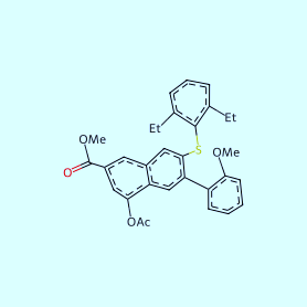 CCc1cccc(CC)c1Sc1cc2cc(C(=O)OC)cc(OC(C)=O)c2cc1-c1ccccc1OC